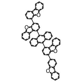 c1ccc2c(c1)oc1cc(-c3ccc(-c4c5ccccc5c(-c5ccc(-c6cccc7c6oc6ccccc67)c6oc7ccccc7c56)c5ccccc45)c4c3oc3ccccc34)ccc12